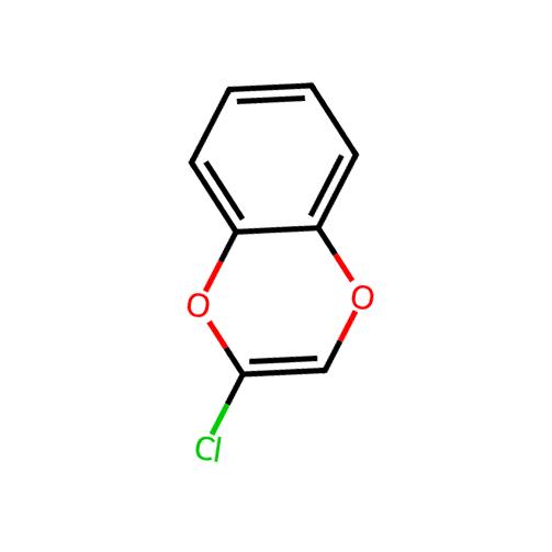 ClC1=COc2ccccc2O1